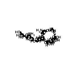 C=C1C[C@@H]2CC[C@]34OC5[C@@H]6O[C@H]7CC[C@H](CC(=O)O[C@@H]8CC9OC%10C[C@H](O[C@H]%11CC[C@@]%12(C[C@H](N)[C@@H]%13O[C@H]([C@@H](O)C[C@@H](O)CO)C[C@@H]%13O%12)O[C@H]%11C)O[C@@H]%10C[C@@H]9O[C@H]8C[C@H]8O[C@@H](CC[C@@H]1O2)C[C@@H](N)C8=C)O[C@@H]7[C@H](O3)[C@@H]6OC5(O)[C@H]4O